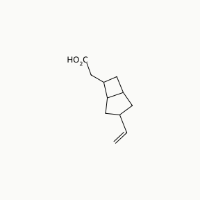 C=CC1CC2CC(CC(=O)O)C2C1